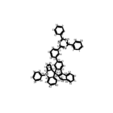 c1ccc(-c2nc(-c3ccccc3)nc(-c3cccc(-c4ccc5c(c4)C4(c6ccccc6N(c6ccccc6)c6ccccc64)c4ccc6ccccc6c4-5)c3)n2)cc1